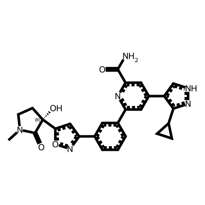 CN1CC[C@@](O)(c2cc(-c3cccc(-c4cc(-c5c[nH]nc5C5CC5)cc(C(N)=O)n4)c3)no2)C1=O